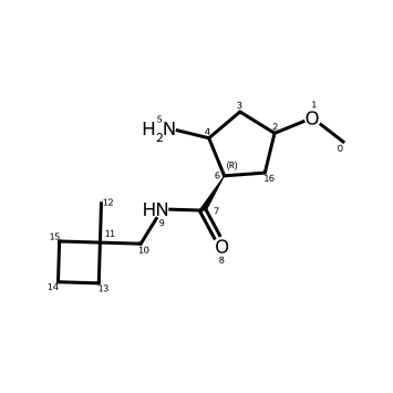 COC1CC(N)[C@H](C(=O)NCC2(C)CCC2)C1